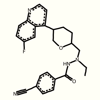 CCN(CC1CCC(c2ccnc3ccc(F)cc23)CO1)NC(=O)c1ccc(C#N)cc1